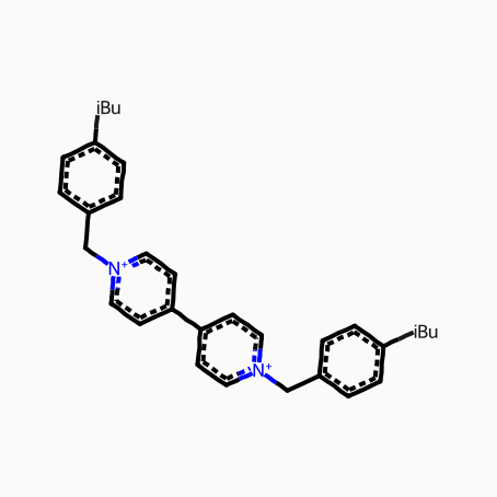 CCC(C)c1ccc(C[n+]2ccc(-c3cc[n+](Cc4ccc(C(C)CC)cc4)cc3)cc2)cc1